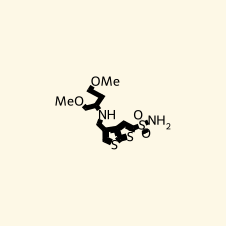 COCCC(COC)NCc1csc2sc(S(N)(=O)=O)cc12